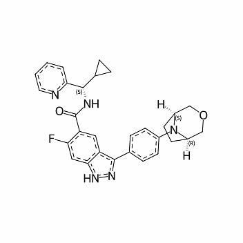 O=C(N[C@H](c1ccccn1)C1CC1)c1cc2c(-c3ccc(N4[C@@H]5CC[C@H]4COC5)cc3)n[nH]c2cc1F